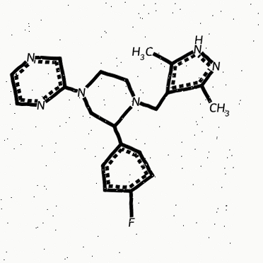 Cc1n[nH]c(C)c1CN1CCN(c2cnccn2)CC1c1ccc(F)cc1